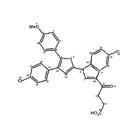 COc1ccc(-c2sc(-n3cc(C(=O)CCC(=O)O)c4cc(Cl)ccc43)nc2-c2ccc(Cl)cc2)cc1